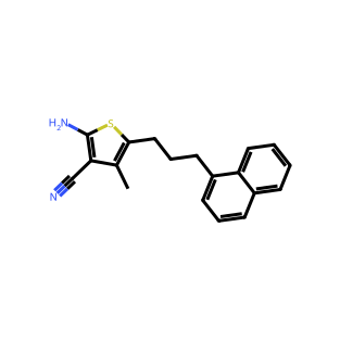 Cc1c(CCCc2cccc3ccccc23)sc(N)c1C#N